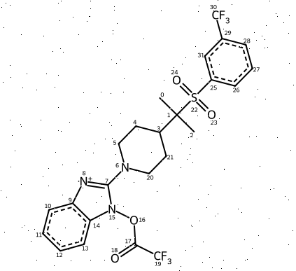 CC(C)(C1CCN(C2=[N+]c3ccccc3N2OC(=O)C(F)(F)F)CC1)S(=O)(=O)c1cccc(C(F)(F)F)c1